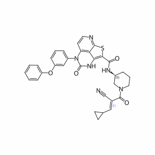 N#C/C(=C\C1CC1)C(=O)N1CCC[C@H](NC(=O)c2sc3nccc4c3c2NC(=O)N4c2cccc(Oc3ccccc3)c2)C1